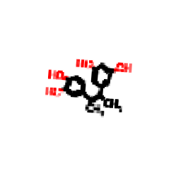 CC(=C(C)c1ccc(O)c(O)c1)c1cc(O)cc(O)c1